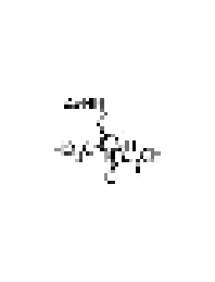 CC(=O)NCSC1=C(C(=O)O)N2C(=O)[C@H](C(C)O)[C@H]2[C@H]1C